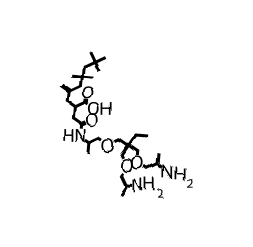 C=C(CC(CC(=O)NC(C)COCC(CC)(COCC(C)N)COCC(C)N)C(=O)O)CC(C)(C)CC(C)(C)C